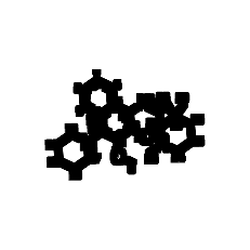 COc1c2c(c3ccccc3c1N1CCCCC1)N=CC1(O2)N(C)CCCC1(C)C